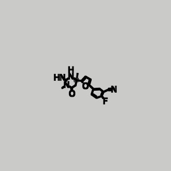 CN1C(=N)N[C@](C)(c2ccc(-c3ccc(F)c(C#N)c3)o2)CC1=O